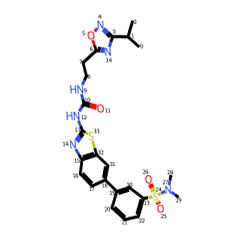 CC(C)c1noc(CCNC(=O)Nc2nc3ccc(-c4cccc(S(=O)(=O)N(C)C)c4)cc3s2)n1